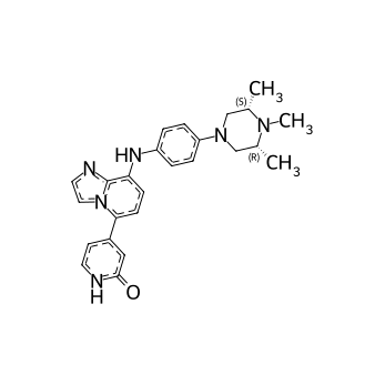 C[C@@H]1CN(c2ccc(Nc3ccc(-c4cc[nH]c(=O)c4)n4ccnc34)cc2)C[C@H](C)N1C